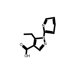 CCc1c(C(=O)O)cnn1-c1ccccn1